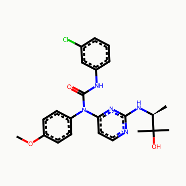 COc1ccc(N(C(=O)Nc2cccc(Cl)c2)c2ccnc(N[C@@H](C)C(C)(C)O)n2)cc1